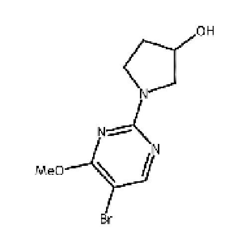 COc1nc(N2CCC(O)C2)ncc1Br